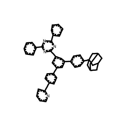 c1ccc(-c2nc(-c3ccccc3)nc(-c3cc(-c4ccc(-c5ccccn5)cc4)cc(-c4ccc(C56CC7CC(CC(C7)C5)C6)cc4)c3)n2)cc1